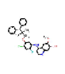 COc1cc2c(Nc3cc(O[SiH2]C(C)(C)C(c4ccccc4)c4ccccc4)c(Cl)cc3F)ccnc2cc1O